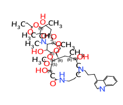 CCC(=O)O[C@@H]1C(C)O[C@@H](O[C@@H]2C(C)O[C@@H](O[C@H]3[C@@H](CC=O)C[C@@H](C)[C@@H](O)CN(CCCc4ccnc5ccccc45)CCCNC(=O)C[C@@H](O)[C@@H]3OC)C(O)C2N(C)C)CC1(C)O